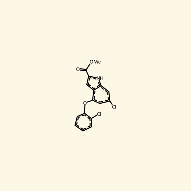 COC(=O)c1cc2c(Oc3ccccc3Cl)cc(Cl)cc2[nH]1